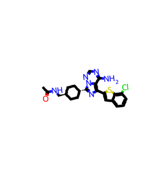 CC(=O)NC[C@H]1CC[C@H](c2nc(-c3cc4cccc(Cl)c4s3)c3c(N)ncnn32)CC1